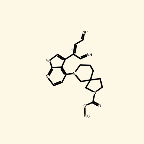 CC(C)(C)OC(=O)N1CCC2(CCCN(c3ccnc4[nH]cc(/C(C=N)=C/C=N)c34)C2)C1